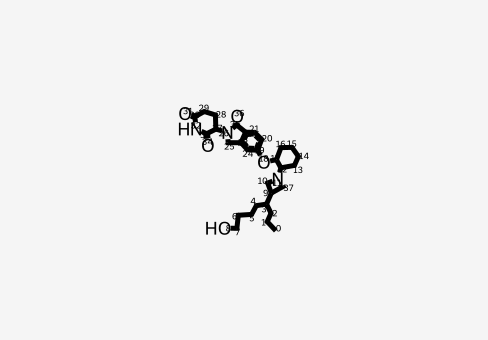 CCCC(CCCCO)C1CN(C2CCCCC2Oc2ccc3c(c2)CN(C2CCC(=O)NC2=O)C3=O)C1